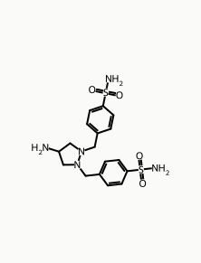 NC1CN(Cc2ccc(S(N)(=O)=O)cc2)N(Cc2ccc(S(N)(=O)=O)cc2)C1